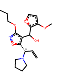 C=C[C@@H](c1onc(OCCCC)c1C(O)c1occc1OC)N1CCCC1